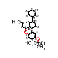 CC=CC(Oc1ccc(OC(C)(CC)C(=O)O)cc1)c1cccc(-c2ccccc2)c1